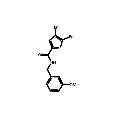 COc1cccc(CNC(=O)c2cc(Br)c(Br)s2)c1